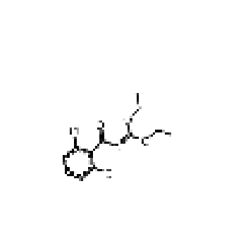 CCOC(=NC(=O)c1c(Cl)cccc1Cl)OCC